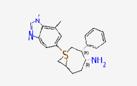 Cc1cc(S23CC2CC[C@@H](N)[C@@H](c2ccccc2)C3)cc2ncn(C)c12